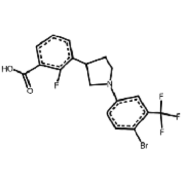 O=C(O)c1cccc(C2CCN(c3ccc(Br)c(C(F)(F)F)c3)C2)c1F